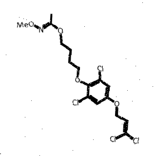 CON=C(C)OCCCCOc1c(Cl)cc(OCC=C(Cl)Cl)cc1Cl